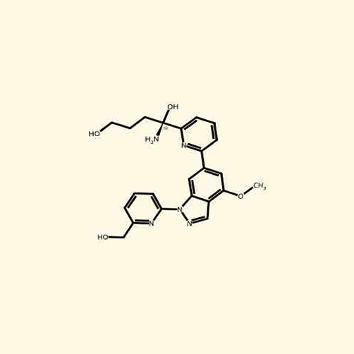 COc1cc(-c2cccc([C@@](N)(O)CCCO)n2)cc2c1cnn2-c1cccc(CO)n1